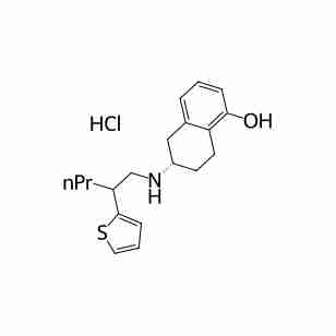 CCCC(CN[C@H]1CCc2c(O)cccc2C1)c1cccs1.Cl